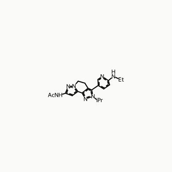 CCNc1ccc(-c2c3c(nn2C(C)C)-c2cc(NC(C)=O)nn2CC3)cn1